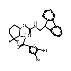 CCc1sc(C(=O)N[C@@H]2[C@@H](OC(=O)NCC3c4ccccc4-c4ccccc43)CCCC2(F)F)cc1Br